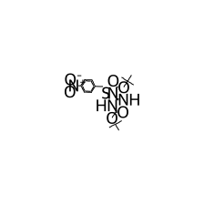 CC(C)(C)OC(=O)NC(=N)N(SCc1ccc([N+](=O)[O-])cc1)C(=O)OC(C)(C)C